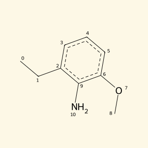 CCc1cccc(OC)c1N